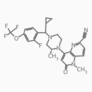 C[C@H]1CN(C(c2ccc(OC(F)(F)F)cc2F)C2CC2)CCN1c1cc(=O)n(C)c2ccc(C#N)nc12